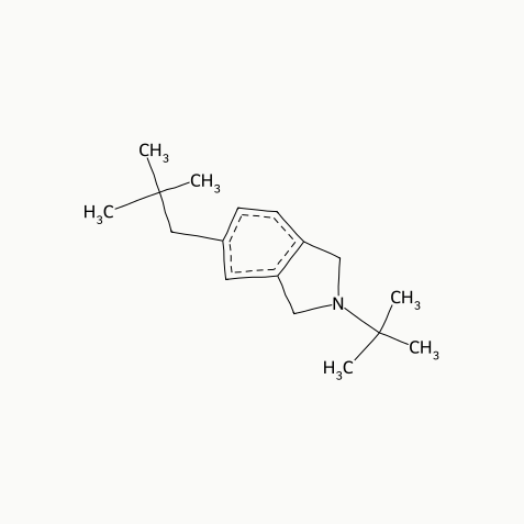 CC(C)(C)Cc1ccc2c(c1)CN(C(C)(C)C)C2